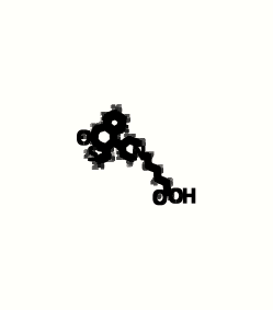 O=C(O)CCCCCN1CCC(=C2c3ccccc3CC(=O)c3sccc32)CC1